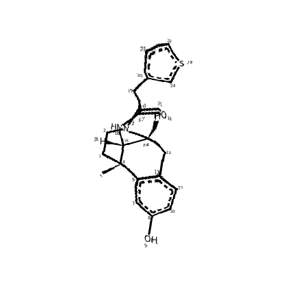 CN1CC[C@@]2(C)c3cc(O)ccc3C[C@@H]1[C@H]2NC(=O)Cc1ccsc1